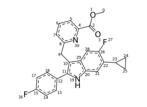 COC(=O)c1cccc(Cc2c(-c3ccc(F)cc3)[nH]c3cc(C4CC4)c(F)cc23)n1